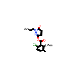 COc1c(C)ccc(Cl)c1C(=O)Oc1ccc(=O)n(CCC(C)=O)n1